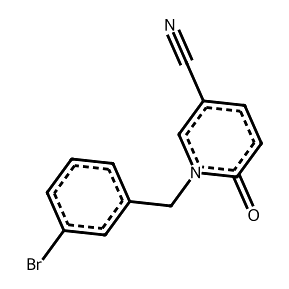 N#Cc1ccc(=O)n(Cc2cccc(Br)c2)c1